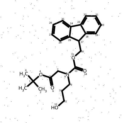 CC(C)(C)OC(=O)CN(CCCO)C(=O)OCC1c2ccccc2-c2ccccc21